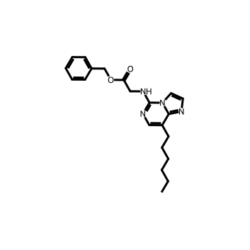 CCCCCCc1cnc(NCC(=O)OCc2ccccc2)n2ccnc12